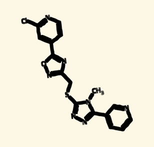 Cn1c(SCc2noc(-c3ccnc(Cl)c3)n2)nnc1-c1cccnc1